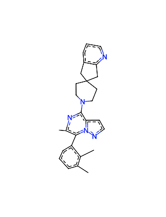 Cc1cccc(-c2c(C)nc(N3CCC4(CC3)Cc3cccnc3C4)c3ccnn23)c1C